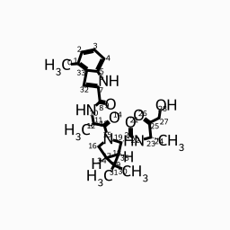 Cc1cccc2[nH]c(C(=O)N[C@@H](C)C(=O)N3C[C@H]4[C@@H]([C@H]3C(=O)N[C@@H](C)C(=O)CO)C4(C)C)cc12